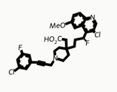 COc1ccc2ncc(Cl)c([C@@H](F)CCC3(CC(=O)O)CCN(CC#Cc4cc(F)cc(Cl)c4)CC3)c2c1